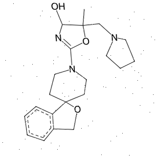 CC1(CN2CCCC2)OC(N2CCC3(CC2)OCc2ccccc23)=NC1O